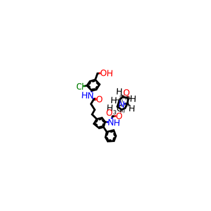 CN1[C@H]2C[C@H](OC(=O)Nc3cc(CCCC(=O)Nc4ccc(CO)cc4Cl)ccc3-c3ccccc3)C[C@H]1[C@H]1O[C@H]12